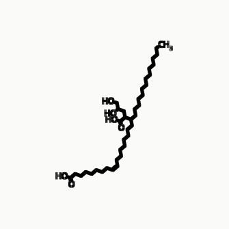 CCCCCCCCCCCCCCCC(CCCCCCCC/C=C\CCCCCCCC(=O)O)C(CC(O)CO)C(=O)O